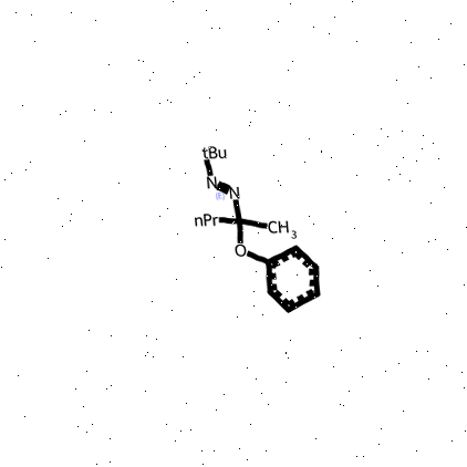 [CH2]CCC(C)(/N=N/C(C)(C)C)Oc1ccccc1